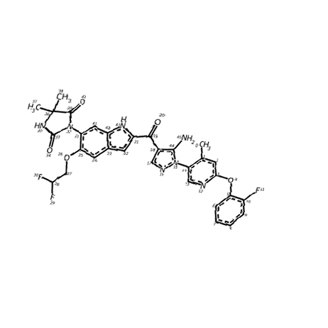 Cc1cc(Oc2ccccc2F)ncc1-n1ncc(C(=O)c2cc3cc(OCC(F)F)c(N4C(=O)NC(C)(C)C4=O)cc3[nH]2)c1N